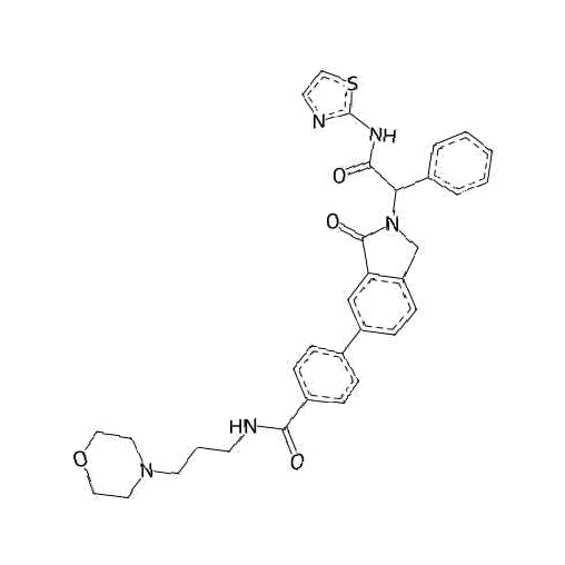 O=C(NCCCN1CCOCC1)c1ccc(-c2ccc3c(c2)C(=O)N(C(C(=O)Nc2nccs2)c2ccccc2)C3)cc1